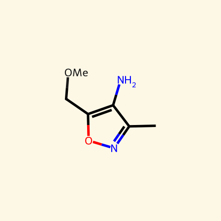 COCc1onc(C)c1N